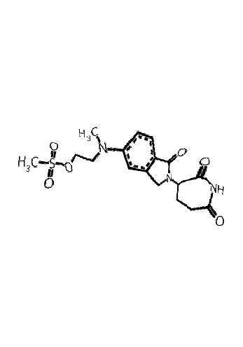 CN(CCOS(C)(=O)=O)c1ccc2c(c1)CN(C1CCC(=O)NC1=O)C2=O